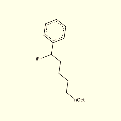 CCCCCCCCCCCCC(c1ccccc1)C(C)C